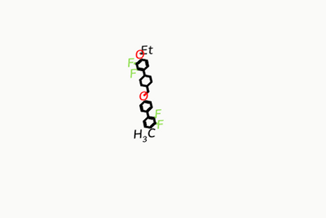 CCOc1ccc(C2CCC(COc3ccc(-c4ccc(C)c(F)c4F)cc3)CC2)c(F)c1F